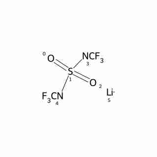 O=S(=O)(NC(F)(F)F)NC(F)(F)F.[Li]